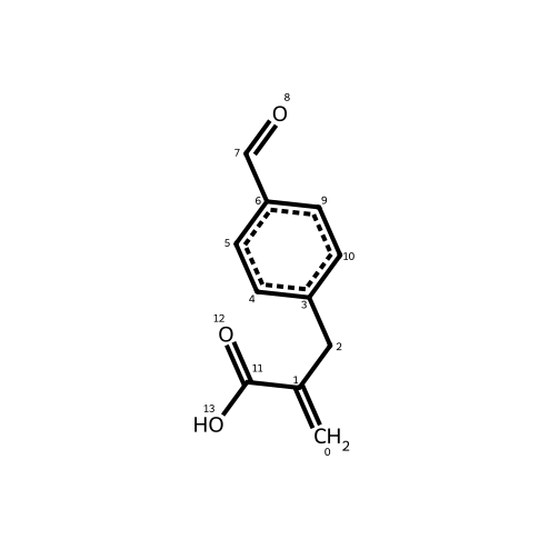 C=C(Cc1ccc(C=O)cc1)C(=O)O